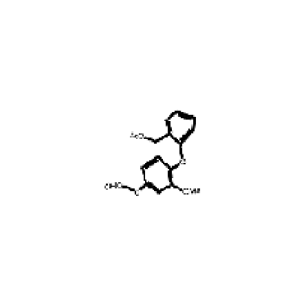 COc1cc(OC=O)ccc1Oc1ccccc1COC(C)=O